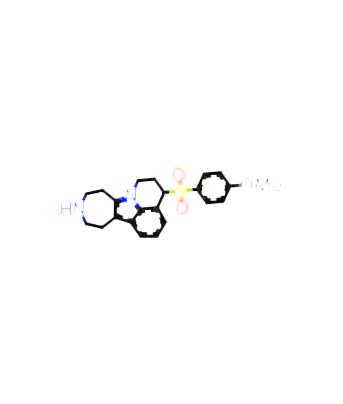 COc1ccc(S(=O)(=O)C2CCn3c4c(c5cccc2c53)CCNCC4)cc1